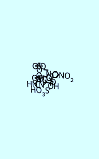 CS(=O)(=O)O.CS(=O)(=O)OCCN(CCOS(C)(=O)=O)c1ccc([N+](=O)[O-])cc1S(=O)(=O)C(O)C(O)CN1CCNCC1